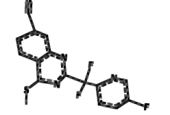 CSc1nc(C(F)(F)c2ccc(F)cn2)nc2cc(C#N)ccc12